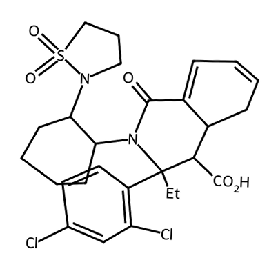 CCC1(c2ccc(Cl)cc2Cl)C(C(=O)O)C2CC=CC=C2C(=O)N1C1CCCCC1N1CCCS1(=O)=O